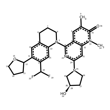 Cc1cc2c(N3CCCc4cc(C5CCCO5)c(C(F)F)cc43)nc(N3CC[C@@H](O)C3)cc2n(C)c1=O